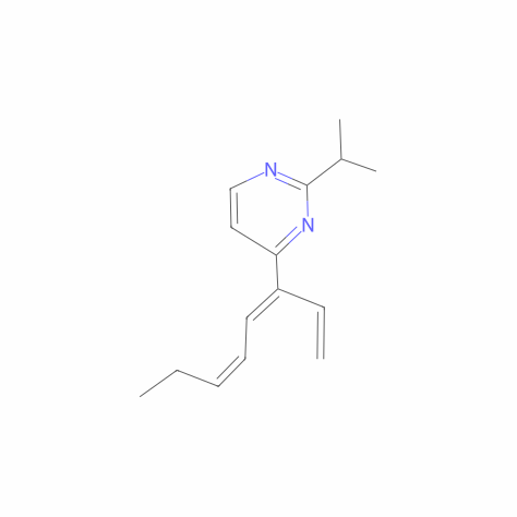 C=C/C(=C\C=C/CC)c1ccnc(C(C)C)n1